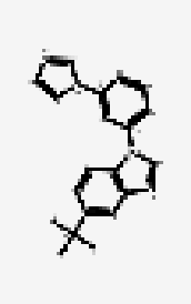 CC(C)(C)c1ccc2c(c1)ncn2-c1cccc(-n2ccnc2)c1